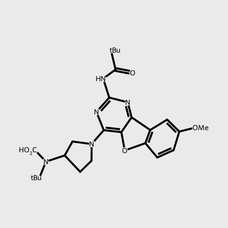 COc1ccc2oc3c(N4CCC(N(C(=O)O)C(C)(C)C)C4)nc(NC(=O)C(C)(C)C)nc3c2c1